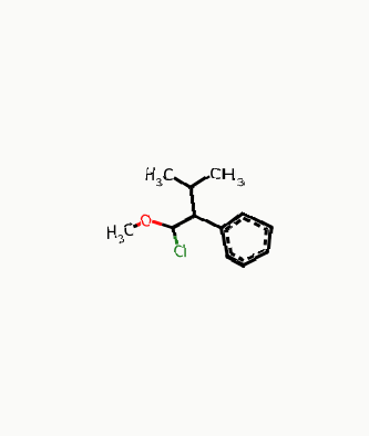 COC(Cl)C(c1ccccc1)C(C)C